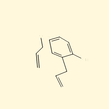 C=CCC(=O)O.C=CCc1ccccc1O